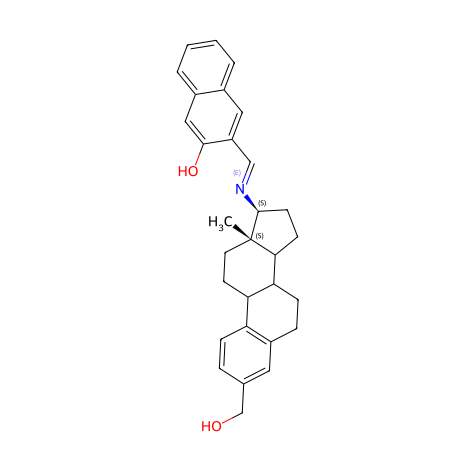 C[C@]12CCC3c4ccc(CO)cc4CCC3C1CC[C@@H]2/N=C/c1cc2ccccc2cc1O